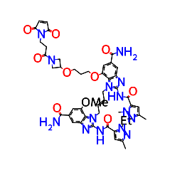 CCn1nc(C)cc1C(=O)Nc1nc2cc(C(N)=O)cc(OC)c2n1CC=CCn1c(NC(=O)c2cc(C)nn2C)nc2cc(C(N)=O)cc(OCCCOC3CN(C(=O)CCN4C(=O)C=CC4=O)C3)c21